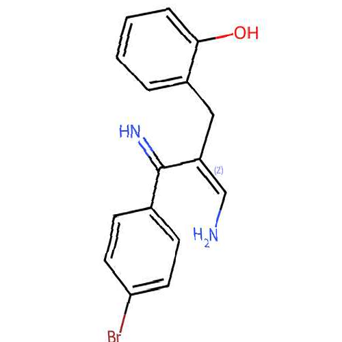 N=C(/C(=C\N)Cc1ccccc1O)c1ccc(Br)cc1